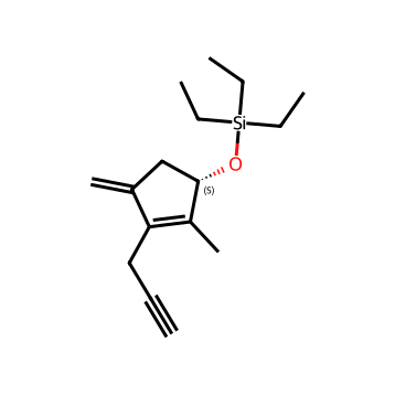 C#CCC1=C(C)[C@@H](O[Si](CC)(CC)CC)CC1=C